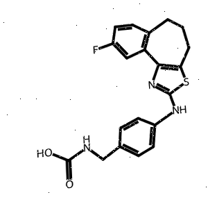 O=C(O)NCc1ccc(Nc2nc3c(s2)CCCc2ccc(F)cc2-3)cc1